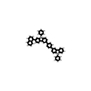 C1=C(c2ccc(-c3ccc4c(c3)c3ccccc3n4-c3ccccc3)cc2)CC2C(=C1)N(c1ccccc1)c1cc(-c3cccc4ccccc34)ccc12